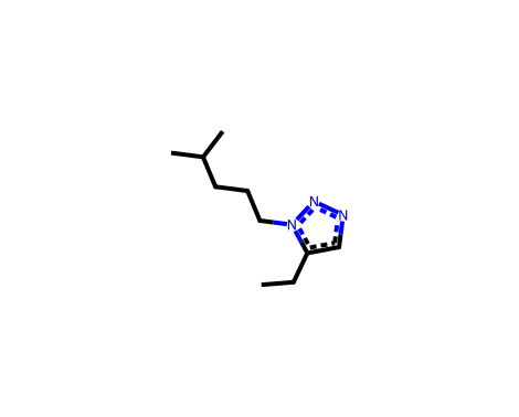 CCc1cnnn1CCCC(C)C